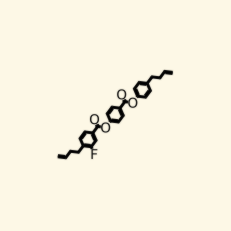 C=CCCc1ccc(OC(=O)c2ccc(OC(=O)c3ccc(CCC=C)c(F)c3)cc2)cc1